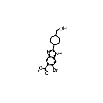 COC(=O)c1cc2nc(C3CCC(CO)CC3)n(C)c2cc1Br